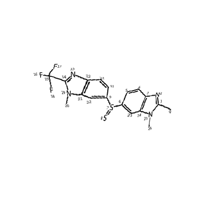 Cc1nc2ccc(S(=S)c3ccc4nc(C(F)(F)F)n(C)c4c3)cc2n1C